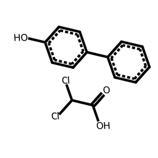 O=C(O)C(Cl)Cl.Oc1ccc(-c2ccccc2)cc1